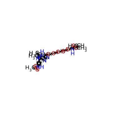 CCS(=O)(=O)Nc1ccc(-c2nn(C(C)(C)C)c(Nc3ccnc(OCCOCCOCCOCCOCCNC(=O)OC(C)(C)C)c3)c2C#N)cc1